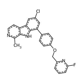 Cc1nccc2c1[nH]c1c(-c3ccc(OCc4cccc(F)n4)cc3)cc(Cl)cc12